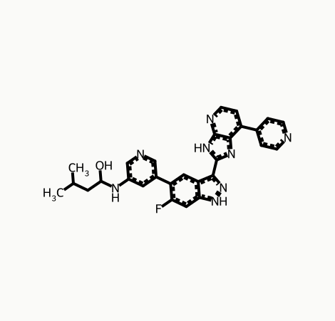 CC(C)CC(O)Nc1cncc(-c2cc3c(-c4nc5c(-c6ccncc6)ccnc5[nH]4)n[nH]c3cc2F)c1